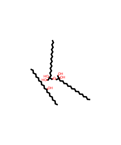 CCCCCCCCCCCC(O)CCCCCCCC.CCCCCCCCCCCCCCCCC(O)(CO)COCC(O)(CO)CCCCCCCCCCCCCCCC